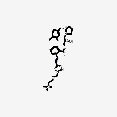 Cc1ccc(C[C@@H]2CCCN2C[C@@H](O)CO[C@H](C)c2ccccc2/C=C/c2nnn(COCC[Si](C)(C)C)n2)cc1F